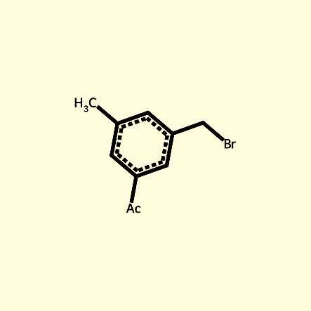 CC(=O)c1cc(C)cc(CBr)c1